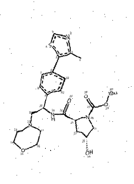 Cc1ncsc1-c1ccc([C@H](CN2CCOCC2)NC(=O)[C@@H]2C[C@@H](O)CN2C(=O)OC(C)(C)C)cc1